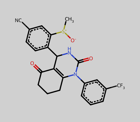 C[S+]([O-])c1cc(C#N)ccc1C1NC(=O)N(c2cccc(C(F)(F)F)c2)C2=C1C(=O)CCC2